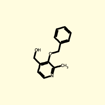 Cc1nccc(CO)c1OCc1ccccc1